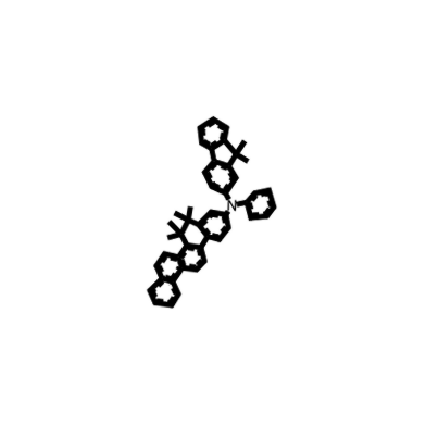 CC1(C)c2ccccc2-c2ccc(N(c3ccccc3)c3ccc4c(c3)C(C)(C)C(C)(C)c3c-4ccc4c3ccc3ccccc34)cc21